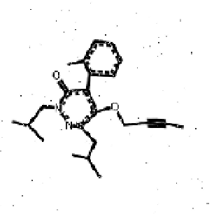 CC#CCOc1c(CC(C)C)nn(CC(C)C)c(=O)c1-c1ccccc1C